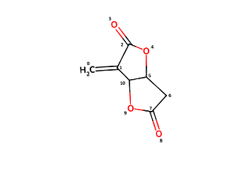 C=C1C(=O)OC2CC(=O)OC12